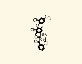 Cc1cc(NC(=O)NC(=O)c2ccccc2Cl)c(C)c(Cl)c1Oc1ccc(C(F)(F)F)cc1Cl